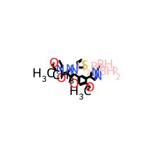 BC(B)(B)n1cc(-c2cc3c(cc2OC)OCc2c(C(=O)N4CCOCC4(C)C)nn(-c4ccsc4)c2-3)cn1